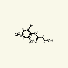 O=C(CCO)Oc1c(Cl)cc(Cl)cc1I